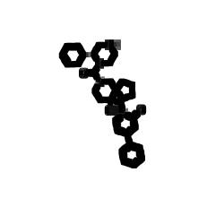 O=C(N1CC[C@@](O)(Cn2ccc(-c3ccccc3)cc2=O)C2(CCCC2)C1)N1CCNC[C@H]1C1C=CC=CC1